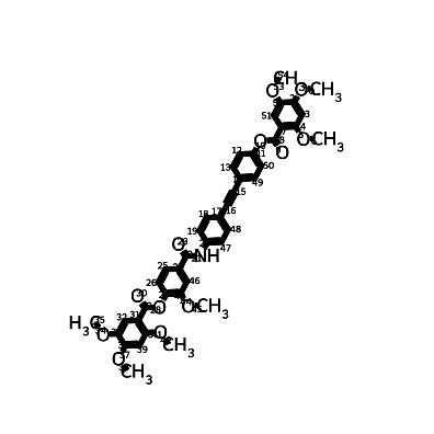 COc1cc(OC)c(C(=O)Oc2ccc(C#Cc3ccc(NC(=O)c4ccc(OC(=O)c5cc(OC)c(OC)cc5OC)c(OC)c4)cc3)cc2)cc1OC